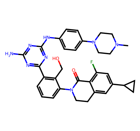 CN1CCN(c2ccc(Nc3nc(N)nc(-c4cccc(N5CCc6cc(C7CC7)cc(F)c6C5=O)c4CO)n3)cc2)CC1